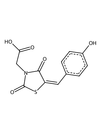 O=C(O)CN1C(=O)SC(=Cc2ccc(O)cc2)C1=O